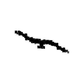 C=CC(=O)OCCOC(=O)CCC(=O)OCc1ccc(OC(=O)[C@H]2CC[C@H](C(=O)Oc3ccc(OC(=O)[C@H]4CC[C@H](C(=O)Oc5ccc(COC(=O)CCC(=O)OCCOC(=O)C=C)cc5C)CC4)c4c3SC(=C(C#N)C#N)S4)CC2)c(C)c1